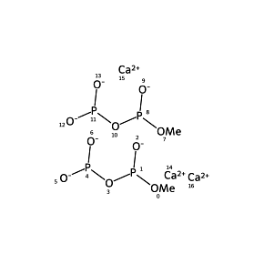 COP([O-])OP([O-])[O-].COP([O-])OP([O-])[O-].[Ca+2].[Ca+2].[Ca+2]